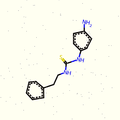 Nc1ccc(NC(=S)NCCc2ccccc2)cc1